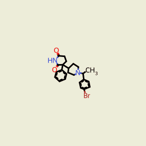 CC(c1ccc(Br)cc1)N1CCC(C2(c3ccccc3)CCC(=O)NC2=O)CC1